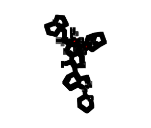 CC(C)(C)OC(=O)N1C2CCC1CN(c1nc(OCC34CCCN3CCC4)nc3c(F)c(-c4cccc5c4cnn5C4CCCCO4)ncc13)C2